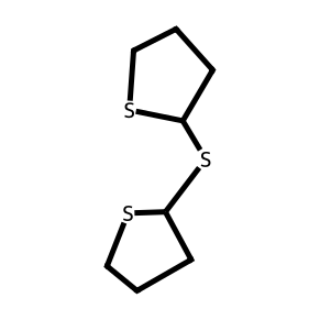 C1CSC(SC2CCCS2)C1